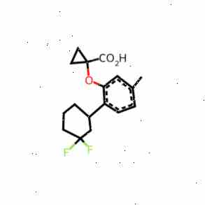 Cc1ccc(C2CCCC(F)(F)C2)c(OC2(C(=O)O)CC2)c1